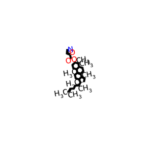 CC(C)=CCC[C@@H](C)[C@H]1CC[C@@]2(C)C3=C(CC[C@]12C)[C@@]1(C)CC[C@H](OC(=O)c2ccno2)C(C)(C)C1CC3